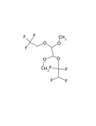 COC(OCC(F)(F)F)C(OC)OC(F)(F)C(F)F